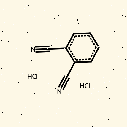 Cl.Cl.N#Cc1ccccc1C#N